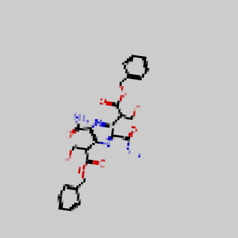 NC(=O)c1nc(C(CO)C(=O)OCc2ccccc2)c(C(N)=O)nc1C(CO)C(=O)OCc1ccccc1